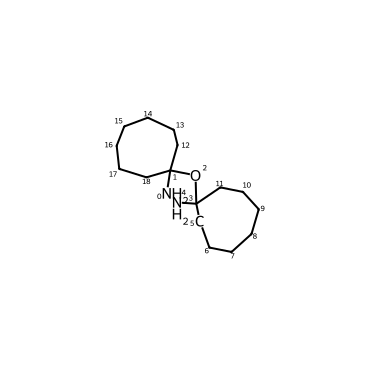 NC1(OC2(N)CCCCCCC2)CCCCCCC1